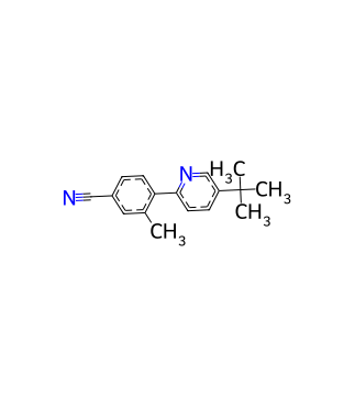 Cc1cc(C#N)ccc1-c1ccc(C(C)(C)C)cn1